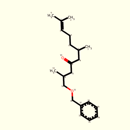 CC(C)=CCCC(C)CC(=O)CC(C)COCc1ccccc1